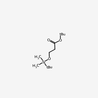 CC(C)(C)OC(=O)CCO[Si](C)(C)C(C)(C)C